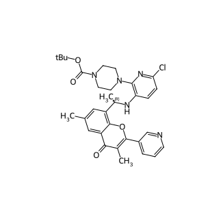 Cc1cc([C@@H](C)Nc2ccc(Cl)nc2N2CCN(C(=O)OC(C)(C)C)CC2)c2oc(-c3cccnc3)c(C)c(=O)c2c1